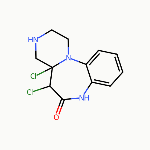 O=C1Nc2ccccc2N2CCNCC2(Cl)C1Cl